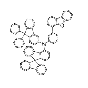 c1ccc(C2(c3ccccc3)c3ccccc3-c3cc(N(c4cccc(-c5cccc6c5oc5ccccc56)c4)c4cccc5c4-c4ccccc4C54c5ccccc5-c5ccccc54)ccc32)cc1